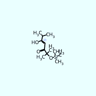 CC(C)/C(O)=C/C(=O)C(C)(C)O[Si](C)(C)C